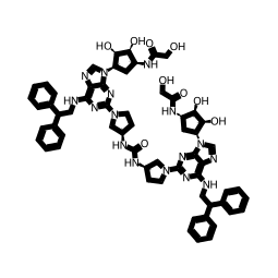 O=C(CO)N[C@H]1C[C@@H](n2cnc3c(NCC(c4ccccc4)c4ccccc4)nc(N4CC[C@@H](NC(=O)N[C@@H]5CCN(c6nc(NCC(c7ccccc7)c7ccccc7)c7ncn([C@@H]8C[C@H](NC(=O)CO)[C@@H](O)[C@H]8O)c7n6)C5)C4)nc32)[C@H](O)[C@@H]1O